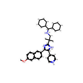 COc1ccc2cc(-c3nc(C(C)(C)CNC(C4CCCCC4)C4CCCCC4)[nH]c3-c3ccncc3)ccc2c1